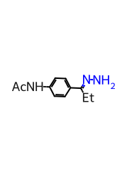 CCC(=NN)c1ccc(NC(C)=O)cc1